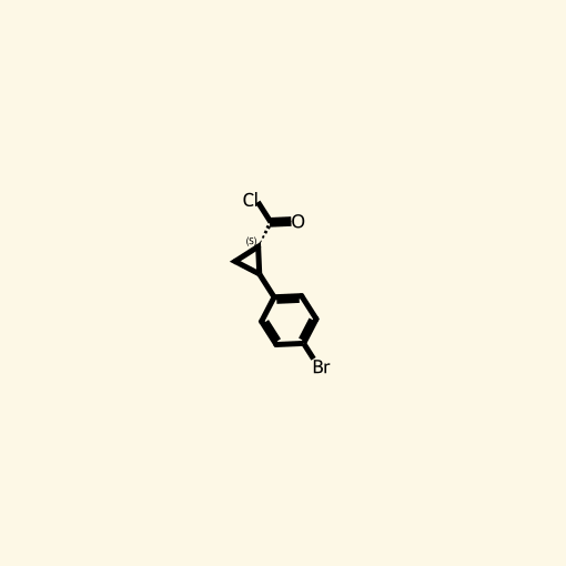 O=C(Cl)[C@H]1CC1c1ccc(Br)cc1